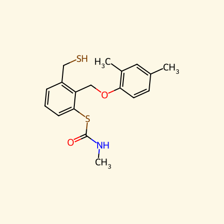 CNC(=O)Sc1cccc(CS)c1COc1ccc(C)cc1C